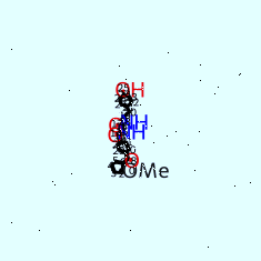 COc1ccccc1C(=O)c1ccc(C(=O)NC(=O)NCCc2ccc(O)cc2)cc1